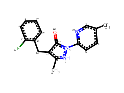 Cc1[nH]n(-c2ccc(C(F)(F)F)cn2)c(=O)c1Cc1ccccc1F